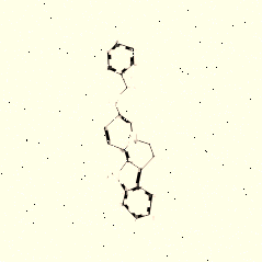 C1=CC2=C3N=c4ccccc4=C3CCN2C=C1OCc1ccccc1